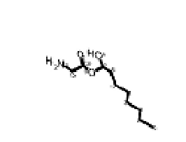 CCCCCCCC(O)OC(=O)CN